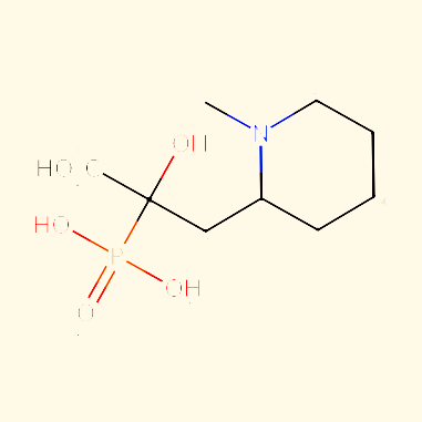 CN1CCCCC1CC(O)(C(=O)O)P(=O)(O)O